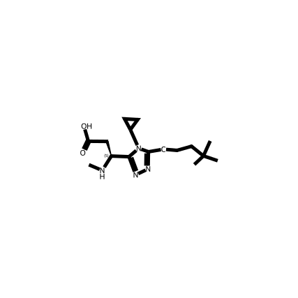 CN[C@@H](CC(=O)O)c1nnc(CCCC(C)(C)C)n1C1CC1